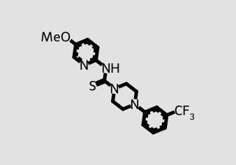 COc1ccc(NC(=S)N2CCN(c3cccc(C(F)(F)F)c3)CC2)nc1